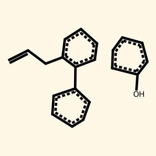 C=CCc1ccccc1-c1ccccc1.Oc1ccccc1